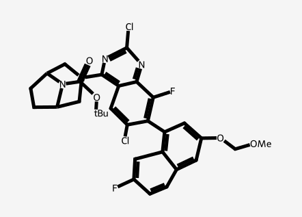 COCOc1cc(-c2c(Cl)cc3c(N4CC5CCC(C4)N5C(=O)OC(C)(C)C)nc(Cl)nc3c2F)c2cc(F)ccc2c1